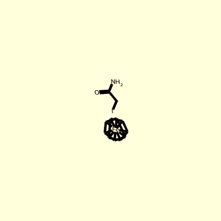 NC(=O)CI.[CH]12[CH]3[CH]4[CH]5[CH]1[Fe]23451678[CH]2[CH]1[CH]6[CH]7[CH]28